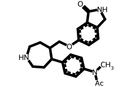 CC(=O)N(C)c1ccc(C2CCNCCC2COc2ccc3c(c2)C(=O)NC3)cc1